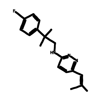 CC(C)=Cc1ccc(NCC(C)(C)c2ccc(F)cc2)nn1